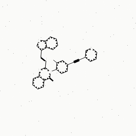 Cc1cc(C#Cc2cccnc2)ccc1-n1c(/C=C/c2c[nH]c3ccccc23)nc2ccccc2c1=O